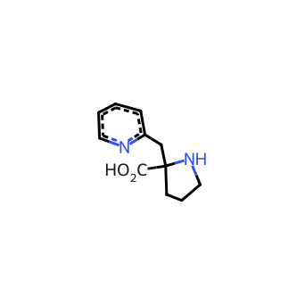 O=C(O)C1(Cc2ccccn2)CCCN1